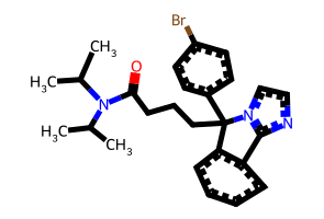 CC(C)N(C(=O)CCCC1(c2ccc(Br)cc2)c2ccccc2-c2nccn21)C(C)C